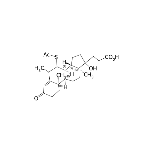 CC(=O)SC1C(C)C2=CC(=O)CC[C@]2(C)[C@@H]2CC[C@@]3(C)[C@@H](CCC3(O)CCC(=O)O)[C@H]12